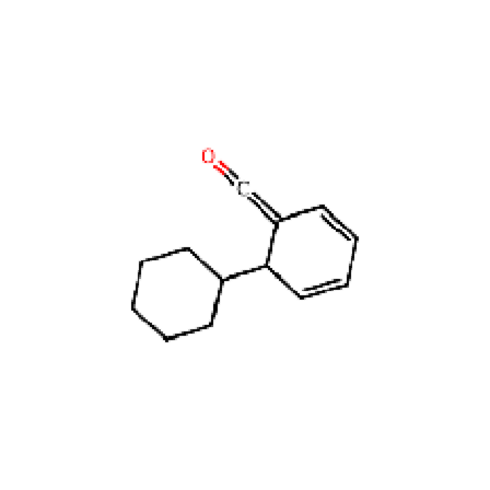 O=C=C1C=CC=CC1C1CCCCC1